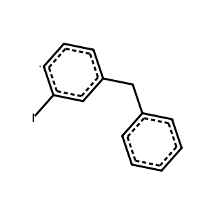 Ic1[c]ccc(Cc2ccccc2)c1